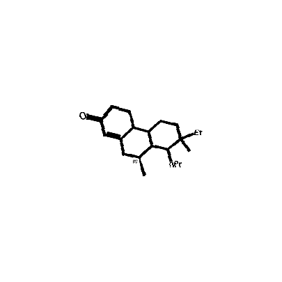 CCCC1C2C(CCC1(C)CC)C1CCC(=O)C=C1C[C@@H]2C